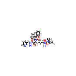 CN(C)S(=O)(=O)NCCCC[C@@H](C(O)C(=O)NCc1cccnc1)N(CC1(Cc2ccc(F)cc2)CCC1)C(=O)O